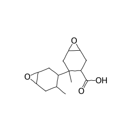 CC1CC2OC2CC1C1(C)CC2OC2CC1C(=O)O